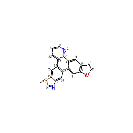 c1cnc(-c2ccc3c(c2)CCO3)c(-c2ccc3ncsc3c2)c1